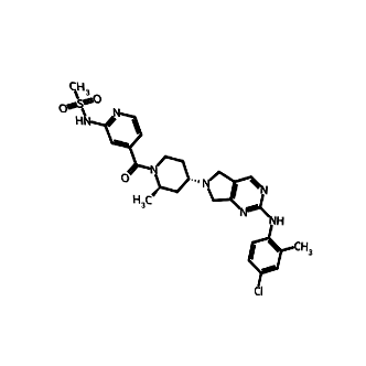 Cc1cc(Cl)ccc1Nc1ncc2c(n1)CN([C@H]1CCN(C(=O)c3ccnc(NS(C)(=O)=O)c3)[C@H](C)C1)C2